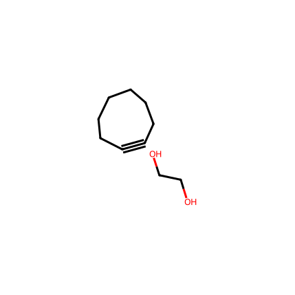 C1#CCCCCCC1.OCCO